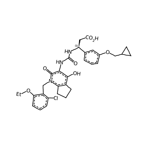 CCOc1cccc(Cl)c1Cn1c2c(c(O)c(NC(=O)N[C@@H](CC(=O)O)c3cccc(OCC4CC4)c3)c1=O)CCC2